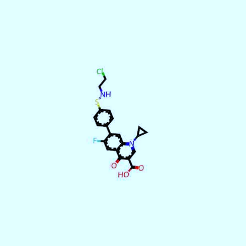 O=C(O)c1cn(C2CC2)c2cc(-c3ccc(SNCCCl)cc3)c(F)cc2c1=O